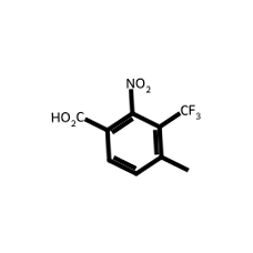 Cc1ccc(C(=O)O)c([N+](=O)[O-])c1C(F)(F)F